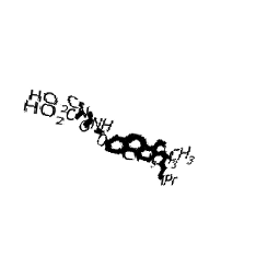 CC(C)CCC[C@@H](C)[C@H]1CCC2C3CC=C4C[C@@H](OCCNC(=O)CN(CC(=O)O)CC(=O)O)CC[C@]4(C)C3CC[C@@]21C